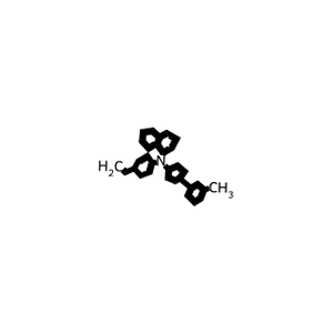 C=CC1C=CC(N(c2ccc(-c3cccc(C)c3)cc2)c2cccc3ccccc23)=CC1